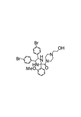 COc1ccccc1C1(C(=O)N2CCN(CCO)CC2)NC(c2ccc(Br)cc2)C(c2ccc(Br)cc2)N1